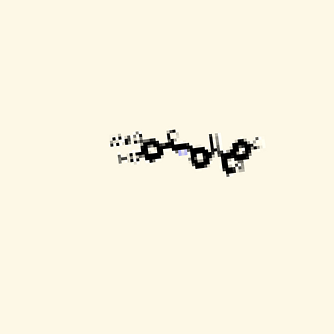 COc1cc(C(=O)/C=C/c2cccc(Nc3ccnc4cc(Cl)ccc34)c2)ccc1O